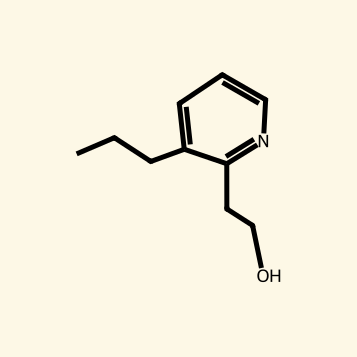 CCCc1cccnc1CCO